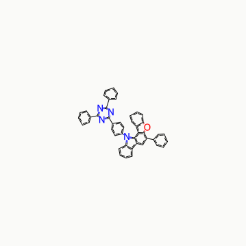 c1ccc(-c2nc(-c3ccccc3)nc(-c3ccc(-n4c5ccccc5c5cc(-c6ccccc6)c6oc7ccccc7c6c54)cc3)n2)cc1